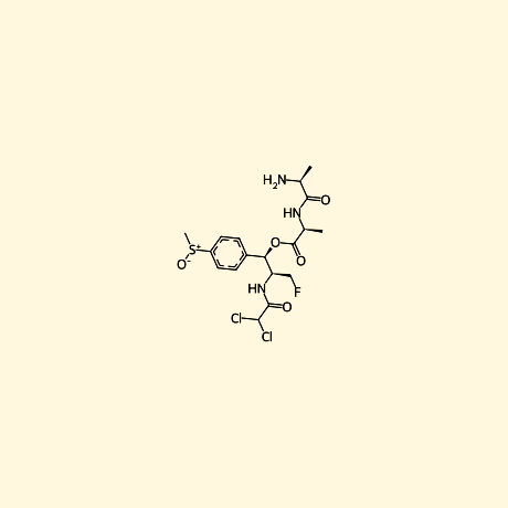 C[C@H](N)C(=O)N[C@@H](C)C(=O)O[C@H](c1ccc([S+](C)[O-])cc1)[C@@H](CF)NC(=O)C(Cl)Cl